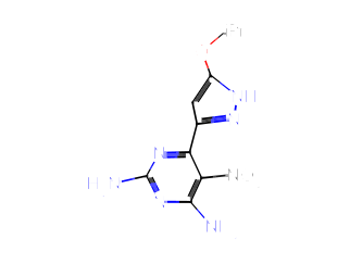 CC(C)Oc1cc(-c2nc(N)nc(N)c2[N+](=O)[O-])n[nH]1